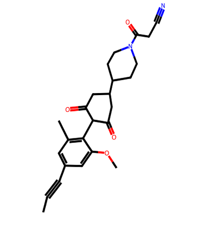 CC#Cc1cc(C)c(C2C(=O)CC(C3CCN(C(=O)CC#N)CC3)CC2=O)c(OC)c1